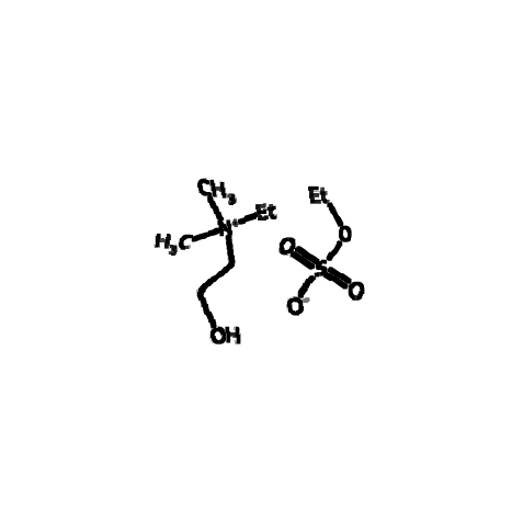 CCOS(=O)(=O)[O-].CC[N+](C)(C)CCO